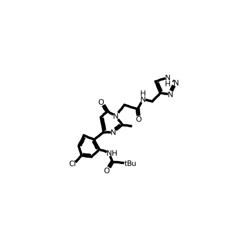 Cc1nc(-c2ccc(Cl)cc2NC(=O)C(C)(C)C)cc(=O)n1CC(=O)NCc1c[nH]nn1